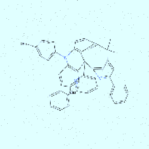 CC(C)(C)c1ccc(N2c3ccc(C(C)(C)C)cc3C3(c4cccc(-c5ccccc5)n4)c4cc(cc(-c5ccccc5)n4)C(C)(C)c4ccc2c3c4)cc1